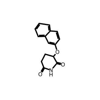 O=C1CCC(Oc2ccc3ccccc3c2)C(=O)N1